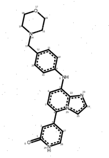 O=c1cc(-c2ccc(Nc3ccc(CN4CCOCC4)cc3)c3nccn23)cc[nH]1